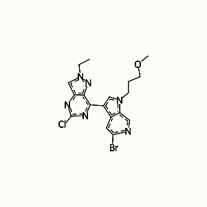 CCn1cc2nc(Cl)nc(-c3cn(CCCOC)c4cnc(Br)cc34)c2n1